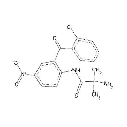 CC(C)(N)C(=O)Nc1ccc([N+](=O)[O-])cc1C(=O)c1ccccc1Cl